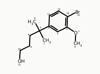 COc1cc(C(C)(C)CCCO)ccc1Br